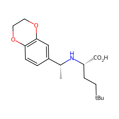 C[C@@H](N[C@@H](CCC(C)(C)C)C(=O)O)c1ccc2c(c1)OCCO2